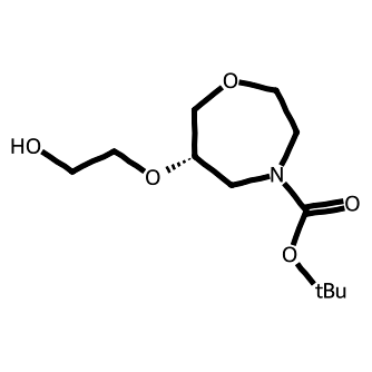 CC(C)(C)OC(=O)N1CCOC[C@@H](OCCO)C1